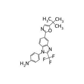 CC(C)(C)c1cnc(-c2ccc3c(c2)nc(C(F)(F)F)n3-c2ccc(N)cc2)o1